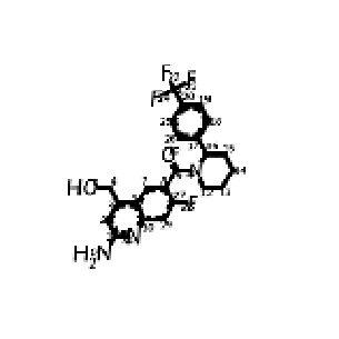 Nc1cc(CO)c2cc(C(=O)N3CCCCC3c3ccc(C(F)(F)F)cc3)c(F)cc2n1